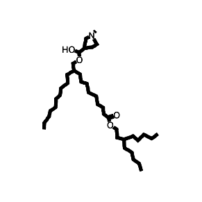 CCCCCCCCCCC(CCCCCCCCC(=O)OCCC(CCCCC)CCCCC)COC(O)C1CCN(C)C1